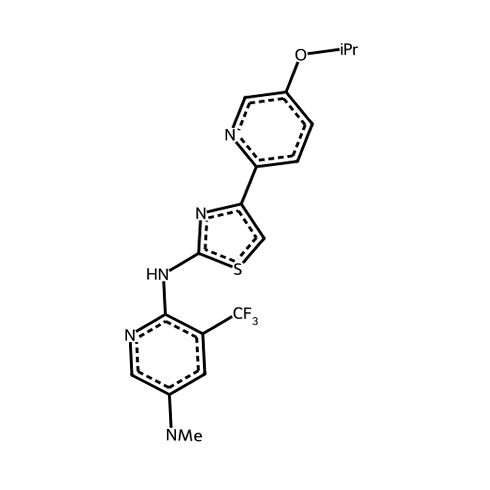 CNc1cnc(Nc2nc(-c3ccc(OC(C)C)cn3)cs2)c(C(F)(F)F)c1